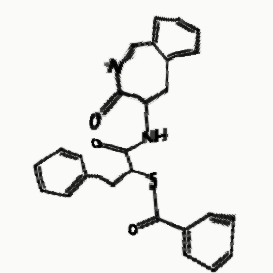 O=C(SC(Cc1ccccc1)C(=O)NC1Cc2ccccc2C[N]C1=O)c1ccccc1